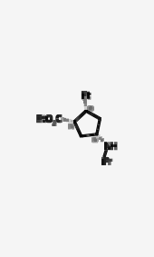 CCOC(=O)[C@H]1C[C@@H](NC(C)C)C[C@H]1CC